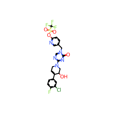 O=c1nc(N2CC=C(c3ccc(F)c(Cl)c3)C(O)C2)ncn1Cc1ccc(OS(=O)(=O)C(F)(F)F)nc1